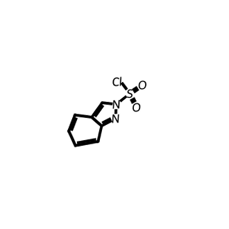 O=S(=O)(Cl)n1cc2ccccc2n1